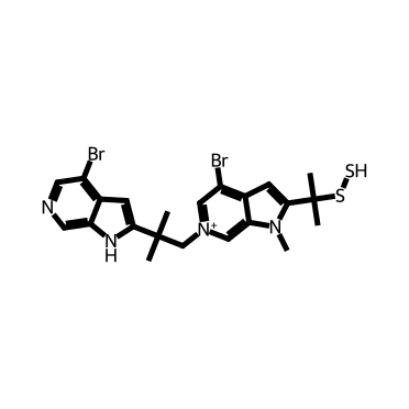 Cn1c(C(C)(C)SS)cc2c(Br)c[n+](CC(C)(C)c3cc4c(Br)cncc4[nH]3)cc21